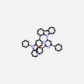 c1ccc(-c2cc(-n3c4ccccc4c4cccc(-c5ccc6c7ncccc7n(-c7ccccc7)c6c5)c43)nc(-c3ccccc3)n2)cc1